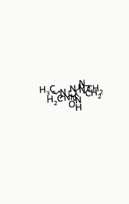 C=Cc1ncc(-c2ncc(NC(=C)/N=C\C=C/C)c3c2CNC3=O)n1C=C